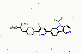 COC(CC1CCN(c2ncc(-c3ccc4c5cnccc5n(C(F)F)c4c3)cc2F)CC1)OC